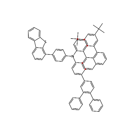 CC(C)(C)c1cc(-c2cccc3cccc(-c4ccccc4N(c4ccc(-c5ccc(-c6ccccc6)c(-c6ccccc6)c5)cc4)c4ccc(-c5cccc6c5sc5ccccc56)cc4)c23)cc(C(C)(C)C)c1